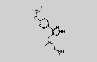 CC[C@@H](C)Oc1ccc(-c2n[nH]cc2CN(C)CCNC)cc1